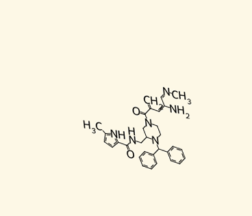 C=C(/C=C(N)\C=N/C)C(=O)N1CCN(C(c2ccccc2)c2ccccc2)C(CNC(=O)c2ccc(C)[nH]2)C1